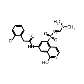 CN(C)/C=N/S(=O)(=O)c1cc(NC(=O)Cc2ccccc2Cl)cc2c(O)nccc12